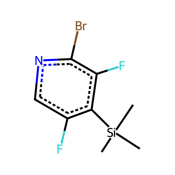 C[Si](C)(C)c1c(F)cnc(Br)c1F